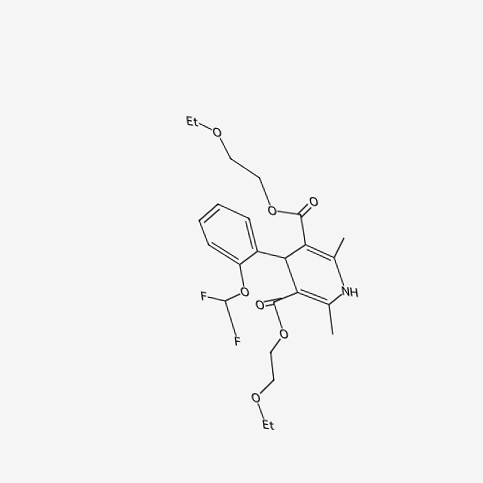 CCOCCOC(=O)C1=C(C)NC(C)=C(C(=O)OCCOCC)C1c1ccccc1OC(F)F